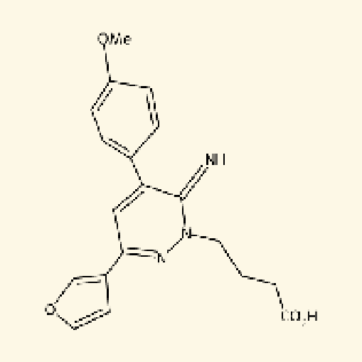 COc1ccc(-c2cc(-c3ccoc3)nn(CCCC(=O)O)c2=N)cc1